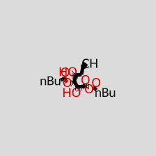 C#CC1O[C@H](OC(=O)CCCC)[C@@H](O)[C@H](OC(=O)CCCC)[C@@H]1O